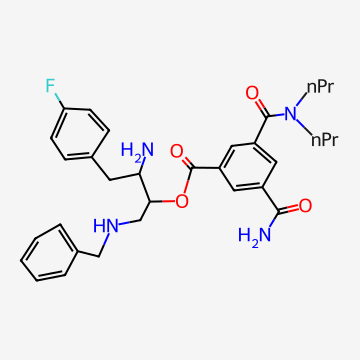 CCCN(CCC)C(=O)c1cc(C(N)=O)cc(C(=O)OC(CNCc2ccccc2)C(N)Cc2ccc(F)cc2)c1